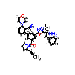 CC#CC1CCCN1C(=O)c1cc(-c2nnc([C@](C)(N)Cc3ccccc3)o2)cc(-c2cccc(N3CCOCC3)c2C#N)c1